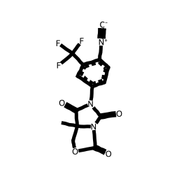 [C-]#[N+]c1ccc(N2C(=O)N3C(=O)OCC3(C)C2=O)cc1C(F)(F)F